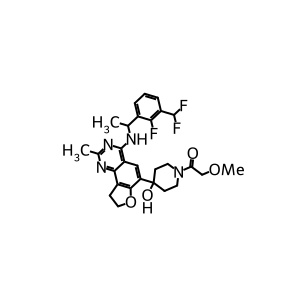 COCC(=O)N1CCC(O)(c2cc3c(NC(C)c4cccc(C(F)F)c4F)nc(C)nc3c3c2OCC3)CC1